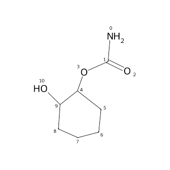 NC(=O)OC1CCCCC1O